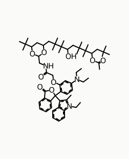 CCN(CC)c1ccc(C2(c3c(C)n(CC)c4ccccc34)OC(=O)c3ccccc32)c(OCC(=O)NCC2OC(CC(C)(C)C(C)(C)C(O)CC(C)(C)C(C)(C)C(CC(C)(C)C)OC(C)=O)CC(C(C)(C)C)O2)c1